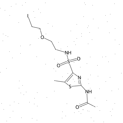 CC(=O)Nc1nc(S(=O)(=O)NCCOCCI)c(C)s1